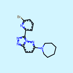 Brc1cccc(-c2nnc3ccc(N4CCCCCC4)nn23)n1